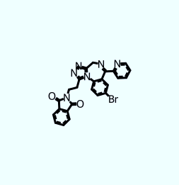 O=C1c2ccccc2C(=O)N1CCc1nnc2n1-c1ccc(Br)cc1C(c1ccccn1)=NC2